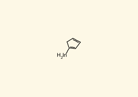 [InH2][C]1=CC=CC1